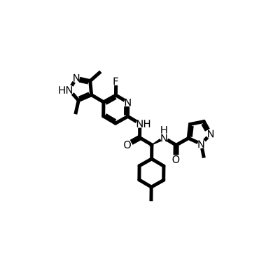 Cc1n[nH]c(C)c1-c1ccc(NC(=O)[C@@H](NC(=O)c2ccnn2C)C2CCC(C)CC2)nc1F